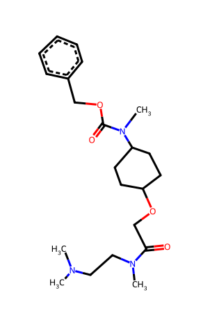 CN(C)CCN(C)C(=O)COC1CCC(N(C)C(=O)OCc2ccccc2)CC1